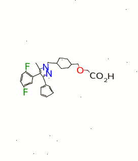 Cc1c(-c2cc(F)ccc2F)c(-c2ccccc2)nn1CC1CCC(COCC(=O)O)CC1